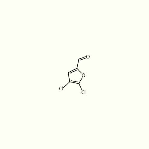 O=Cc1cc(Cl)c(Cl)o1